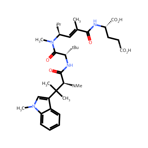 CN[C@H](C(=O)N[C@H](C(=O)N(C)[C@H](/C=C(\C)C(=O)N[C@@H](CCC(=O)O)C(=O)O)C(C)C)C(C)(C)C)C(C)(C)c1cn(C)c2ccccc12